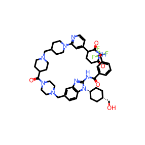 O=C1CCC(c2ccnc(N3CCC(CN4CCC(C(=O)N5CCN(Cc6ccc7c(c6)nc(NC(=O)c6cccc(C(F)(F)F)c6)n7[C@H]6CC[C@@H](CO)CC6)CC5)CC4)CC3)c2)C(=O)N1